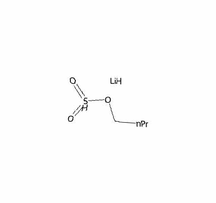 CCCCO[SH](=O)=O.[LiH]